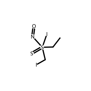 CCS(=S)(I)(CI)N=O